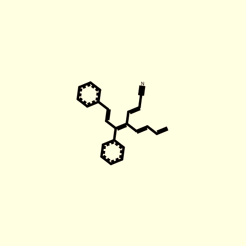 C=CC=CC(C=CC#N)=C(C=Cc1ccccc1)c1ccccc1